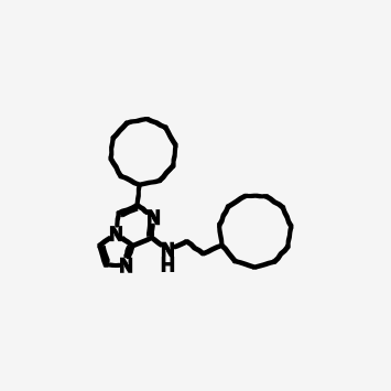 c1cn2cc(C3CCCCCCCCC3)nc(NCCC3CCCCCCCCCC3)c2n1